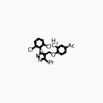 CC(=O)c1ccc(OCc2c(C(C)C)nnn2-c2c(Cl)cccc2Cl)c(C)c1